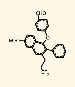 COc1ccc2c(Oc3ccc(C=O)cc3)c(-c3ccccc3)c(CCC(F)(F)F)cc2c1